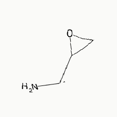 N[CH]C1CO1